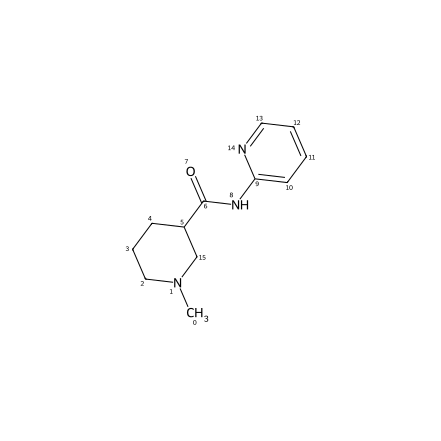 CN1CCCC(C(=O)Nc2ccccn2)C1